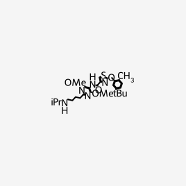 COc1nc(CCCCNC(C)C)nc(OC)c1NC(=O)c1csc(Oc2cc(C(C)(C)C)ccc2C)n1